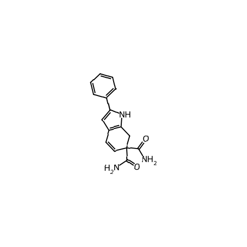 NC(=O)C1(C(N)=O)C=Cc2cc(-c3ccccc3)[nH]c2C1